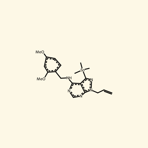 C=CCn1n[c]([Sn]([CH3])([CH3])[CH3])c2c(NCc3ccc(OC)cc3OC)ncnc21